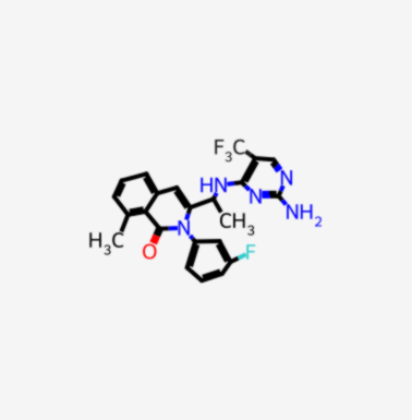 Cc1cccc2cc(C(C)Nc3nc(N)ncc3C(F)(F)F)n(-c3cccc(F)c3)c(=O)c12